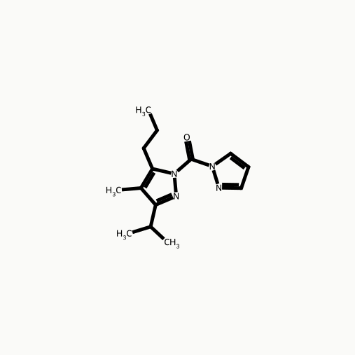 CCCc1c(C)c(C(C)C)nn1C(=O)n1cccn1